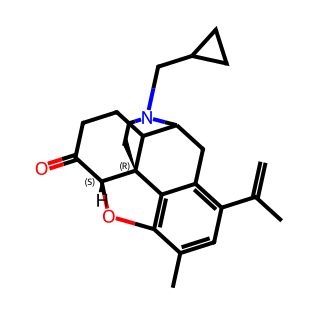 C=C(C)c1cc(C)c2c3c1CC1C4CCC(=O)[C@@H](O2)[C@@]34CCN1CC1CC1